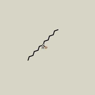 CCCCCC[SiH](Br)CCCCCC